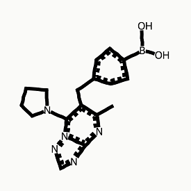 Cc1nc2ncnn2c(N2CCCC2)c1Cc1ccc(B(O)O)cc1